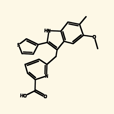 COc1cc2c(Cc3cccc(C(=O)O)n3)c(-c3ccsc3)[nH]c2cc1C